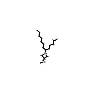 CCCCCCCC(CCCCC)N1CC(NC)C1